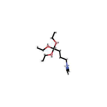 [C-]#[N+]CCC[Si](OCC)(OCC)OCC